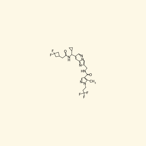 Cc1c(C(=O)NCc2cn3ncc(C(NC(=O)CC4CC(F)(F)C4)C4CC4)cc3n2)cnn1CCC(F)(F)F